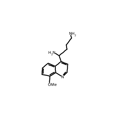 COc1cccc2c(C(N)CCCN)ccnc12